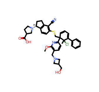 COc1nc(C2(CSc3ccc4c(c3C#N)CC[C@H]4N3CCC(C(=O)O)C3)C=CC=C(c3ccccc3)C2(C)Cl)ccc1CN1CC(CO)C1